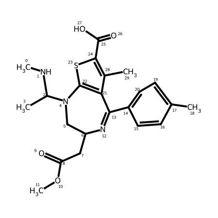 CNC(C)N1CC(CC(=O)OC)N=C(c2ccc(C)cc2)c2c1sc(C(=O)O)c2C